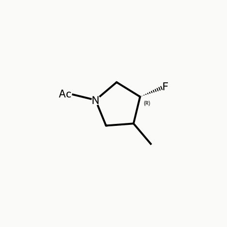 CC(=O)N1CC(C)[C@@H](F)C1